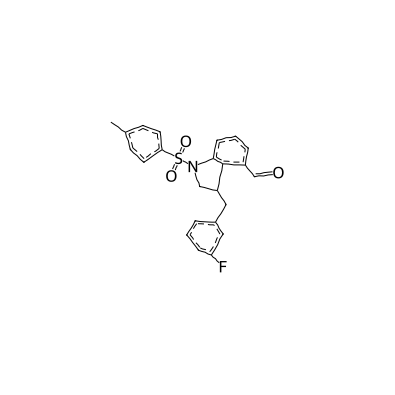 Cc1ccc(S(=O)(=O)N2CC(Cc3cccc(F)c3)c3c(C=O)cccc32)cc1